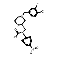 O=C(O)N(C[C@@H]1CN(Cc2ccc(Cl)c(Cl)c2)CCO1)c1ccc([N+](=O)[O-])cc1